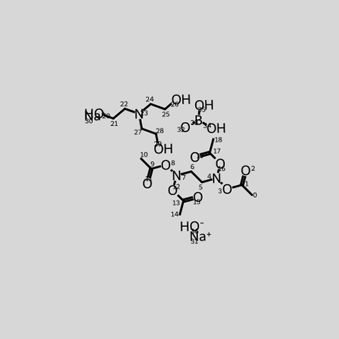 CC(=O)ON(CCN(OC(C)=O)OC(C)=O)OC(C)=O.OCCN(CCO)CCO.[Na+].[Na+].[O-]B(O)O.[OH-]